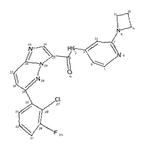 O=C(Nc1ccnc(N2CCC2)c1)c1cnc2ccc(-c3cccc(F)c3Cl)nn12